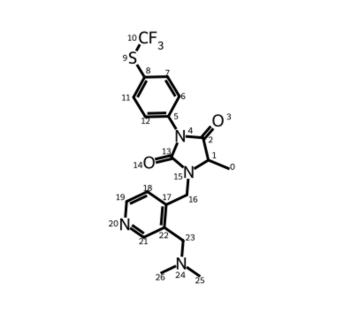 CC1C(=O)N(c2ccc(SC(F)(F)F)cc2)C(=O)N1Cc1ccncc1CN(C)C